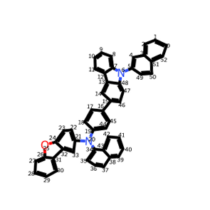 c1ccc2cc(-n3c4ccccc4c4cc(-c5ccc(N(c6ccc7oc8ccccc8c7c6)c6cccc7ccccc67)cc5)ccc43)ccc2c1